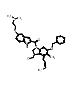 C=c1c(OCc2ccccc2)cc2c(/c1=C/C=C\C)C(CCl)CN2C(=O)c1cc2cc(OCCN(C)C)ccc2[nH]1